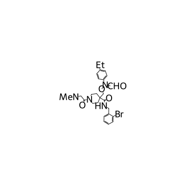 CCc1ccc(N(C=O)OCC2(C(=O)NCc3ccccc3Br)CCN(C(=O)CNC)CC2)cc1